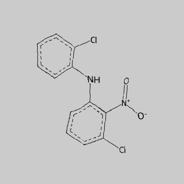 O=[N+]([O-])c1c(Cl)cccc1Nc1ccccc1Cl